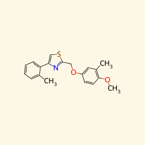 COc1ccc(OCc2nc(-c3ccccc3C)cs2)cc1C